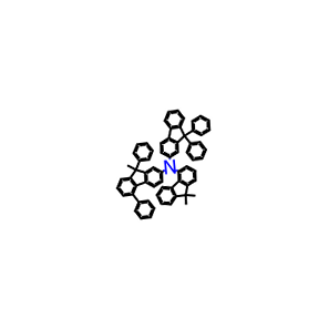 CC1(C)c2ccccc2-c2c(N(c3ccc4c(c3)C(C)(c3ccccc3)c3cccc(-c5ccccc5)c3-4)c3ccc4c(c3)C(c3ccccc3)(c3ccccc3)c3ccccc3-4)cccc21